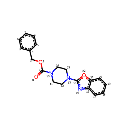 O=C(OCc1ccccc1)N1CCN(c2nc3ccccc3o2)CC1